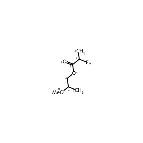 COC(C)COC(=O)C(C)F